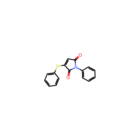 O=C1C=C(Sc2ccccc2)C(=O)N1c1ccccc1